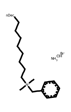 CCCCCCCCCCCCCCCCCC[N+](C)(C)Cc1ccccc1.Cl.N.[Br-]